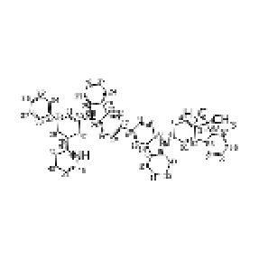 CC1(C)C2=CCC(N3C4=C(CCCC4)C4C=C(c5ccc6c(c5)c5ccccc5n6C5=CC(c6ccccc6)CC(C6CCC=CN6)C5)C=CC43)C=C2C2C=CC=CC21